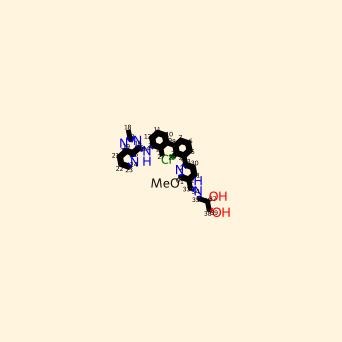 COc1nc(-c2cccc(-c3cccc(Nc4nc(C)nc5cccnc45)c3C)c2Cl)ccc1CNC[C@@H](O)CO